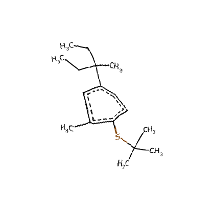 CCC(C)(CC)c1ccc(SC(C)(C)C)c(C)c1